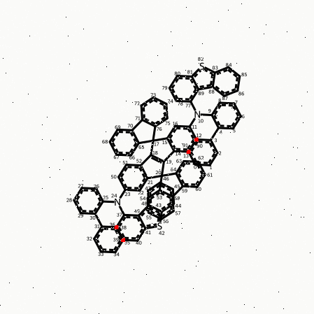 c1ccc(-c2ccccc2N(c2ccc3c(c2)C2(C4=C3C3(c5cc(N(c6ccccc6-c6ccccc6)c6cccc7sc8ccccc8c67)ccc54)c4ccccc4-c4ccccc43)c3ccccc3-c3ccccc32)c2cccc3sc4ccccc4c23)cc1